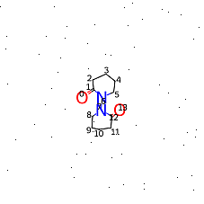 O=C1CCCCN1N1CCCCC1=O